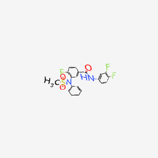 CS(=O)(=O)N(c1ccccc1)c1cc(C(=O)Nc2ccc(F)c(F)c2)ccc1F